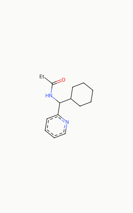 CCC(=O)NC(c1ccccn1)C1CCCCC1